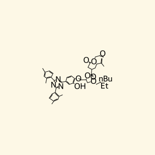 C=C(C)CCC(CC(=O)OCC1CO1)C(=O)OC(COCC(CC)CCCC)COc1ccc(-c2nc(-c3ccc(C)cc3C)nc(-c3ccc(C)cc3C)n2)cc1O